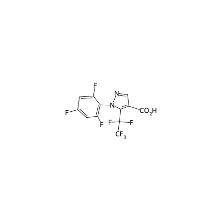 O=C(O)c1cnn(-c2c(F)cc(F)cc2F)c1C(F)(F)C(F)(F)F